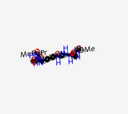 COC(=O)N[C@H](C(=O)N1CC2(C[C@H]1c1nc(-c3ccc(-c4ccc(C(=O)Nc5ccc(NCCNC(=O)[C@]6(C)CCCN6C(=O)[C@@H](NC(=O)OC)C(C)C)nc5)cc4)cc3)c[nH]1)OCCO2)C(C)C